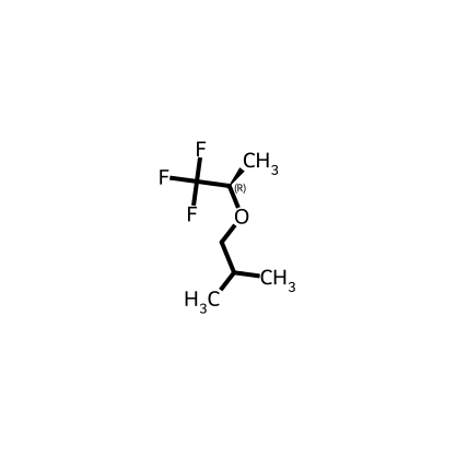 CC(C)CO[C@H](C)C(F)(F)F